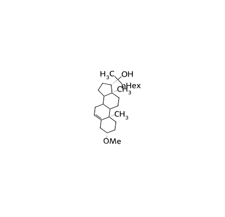 CCCCCCC(C)(O)[C@H]1CCC2C3CC=C4C[C@@H](OC)CC[C@]4(C)C3CC[C@@]21C